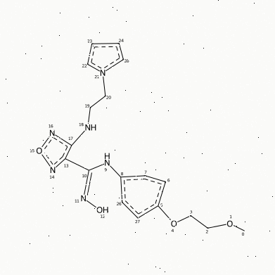 COCCOc1ccc(N/C(=N\O)c2nonc2NCCn2cccc2)cc1